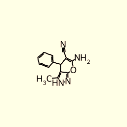 Cc1[nH]nc2c1C(c1ccccc1)C(C#N)=C(N)O2